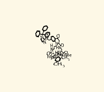 COC(=O)C(CNC(=O)C1CC(=O)c2ccc(CNc3nccn3C(c3ccccc3)(c3ccccc3)c3ccccc3)cc2N1CCCNC(=O)OC(C)(C)C)NS(=O)(=O)c1c(C)cc(C)cc1C